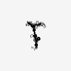 COc1ccc(COC(=O)[C@@H]2CCCCN2C(=O)c2ccc(C#Cc3ccc(-c4cc(C(=O)NNC(=O)OC(C)(C)C)c5cnc(NC(=O)CN)cc5n4)cc3)c(Cl)c2)cc1